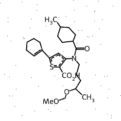 COCOC(C)CCCN(C(=O)C1CCC(C)CC1)c1cc(C2=CCCCC2)sc1C(=O)O